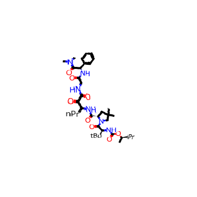 CCCC(NC(=O)[C@@H]1CC(C)(C)CN1C(=O)[C@@H](NC(=O)O[C@H](C)C(C)C)C(C)(C)C)C(=O)C(=O)NCC(=O)N[C@H](C(=O)N(C)C)c1ccccc1